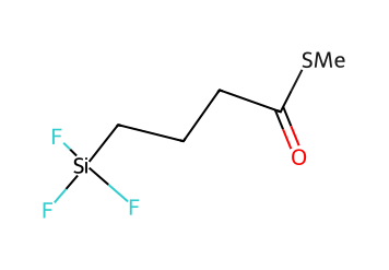 CSC(=O)CCC[Si](F)(F)F